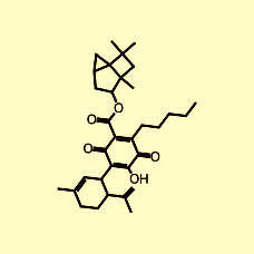 C=C(C)C1CCC(C)=CC1C1=C(O)C(=O)C(CCCCC)=C(C(=O)OC2CC3CC34C(C)(C)CC24C)C1=O